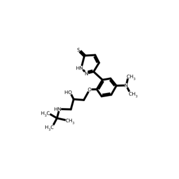 CN(C)c1ccc(OCC(O)CNC(C)(C)C)c(-c2ccc(=S)[nH]n2)c1